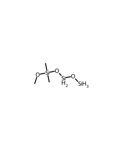 CO[Si](C)(C)O[SiH2]O[SiH3]